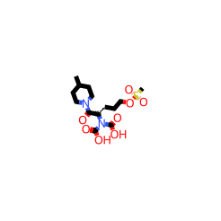 CC1CCN(C(=O)[C@H](CCCOS(C)(=O)=O)N(C(=O)O)C(=O)O)CC1